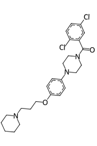 O=C(c1cc(Cl)ccc1Cl)N1CCN(c2ccc(OCCCN3CCCCC3)cc2)CC1